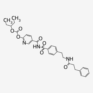 CCC(CC)OC(=O)Oc1ccc(C(=O)NS(=O)(=O)c2ccc(CCNC(=O)CCc3ccccc3)cc2)cn1